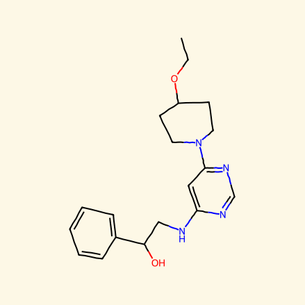 CCOC1CCN(c2cc(NCC(O)c3ccccc3)ncn2)CC1